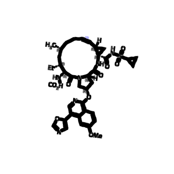 CC[C@@H]1C[C@H](C)CC/C=C\[C@@H]2C[C@@]2(C(=O)NS(=O)(=O)C2CC2)NC(=O)[C@@H]2C[C@@H](Oc3ncc(-c4cnco4)c4cc(OC)ccc34)CN2C(=O)[C@H]1NC(=O)O